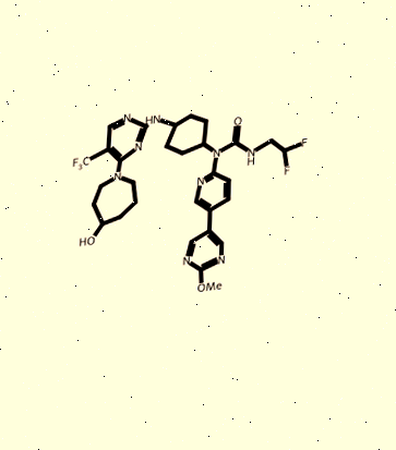 COc1ncc(-c2ccc(N(C(=O)NCC(F)F)C3CCC(Nc4ncc(C(F)(F)F)c(N5CCCC(O)CC5)n4)CC3)nc2)cn1